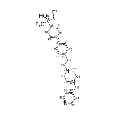 OC(CF)(c1ccc(-c2ccc(CCN3CCN(Cc4ccncc4)CC3)cc2)cc1)C(F)(F)F